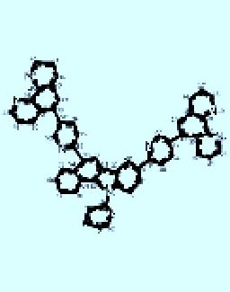 c1ccc(-n2c3ccc(-c4ccc(-c5cc6cccnc6c6ncccc56)cn4)cc3c3cc(-c4ccc(-c5cc6cccnc6c6ncccc56)cn4)c4ccccc4c32)nc1